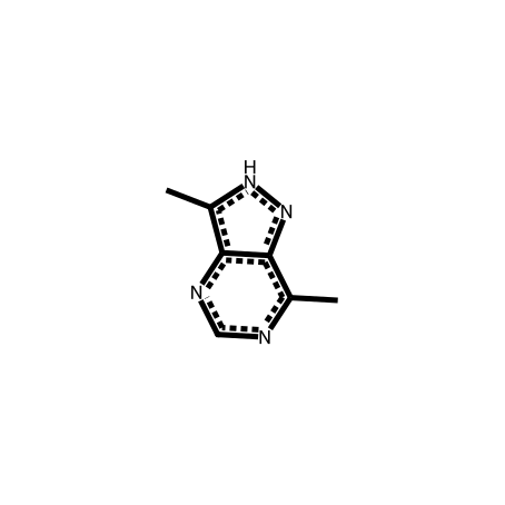 Cc1ncnc2c(C)[nH]nc12